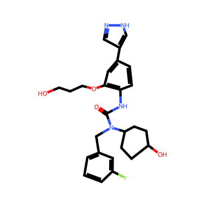 O=C(Nc1ccc(-c2cn[nH]c2)cc1OCCCO)N(Cc1cccc(F)c1)C1CCC(O)CC1